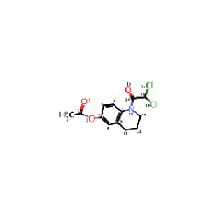 CC(=O)Oc1ccc2c(c1)CCCN2C(=O)C(Cl)Cl